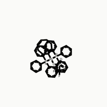 O=S(=O)([O][Rh]([C]1=CCCC=CCC1)([PH](c1ccccc1)(c1ccccc1)c1ccccc1)[PH](c1ccccc1)(c1ccccc1)c1ccccc1)C(F)(F)F